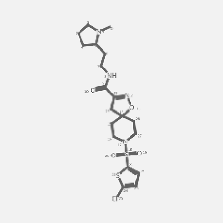 CN1CCCC1CCNC(=O)C1=NOC2(CCN(S(=O)(=O)c3ccc(Cl)s3)CC2)C1